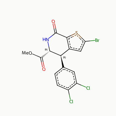 COC(=O)[C@@H]1NC(=O)c2sc(Br)cc2[C@H]1c1ccc(Cl)c(Cl)c1